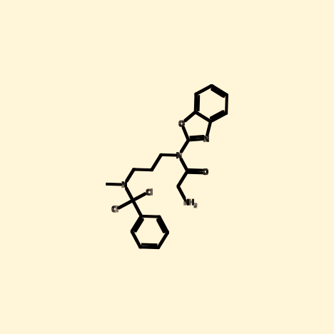 CN(CCCN(C(=O)CN)c1nc2ccccc2o1)C(Cl)(Cl)c1ccccc1